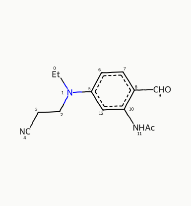 CCN(CCC#N)c1ccc(C=O)c(NC(C)=O)c1